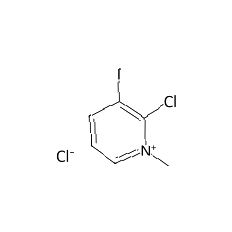 C[n+]1cccc(I)c1Cl.[Cl-]